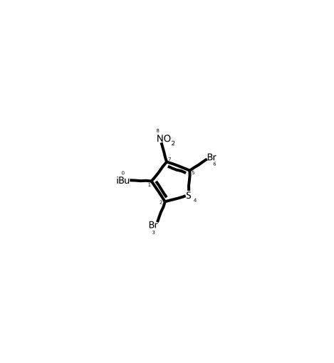 CCC(C)c1c(Br)sc(Br)c1[N+](=O)[O-]